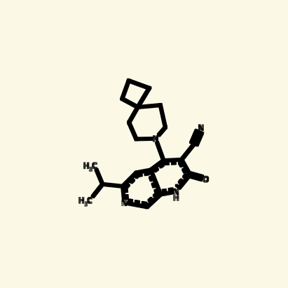 CC(C)c1cc2c(N3CCC4(CCC4)CC3)c(C#N)c(=O)[nH]c2cn1